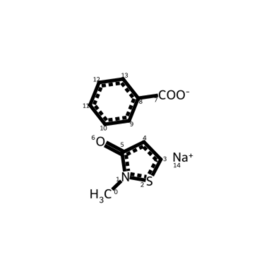 Cn1sccc1=O.O=C([O-])c1ccccc1.[Na+]